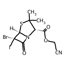 CC1(C)S[C@H]2N(C(=O)[C@@]2(Br)I)[C@H]1C(=O)OCC#N